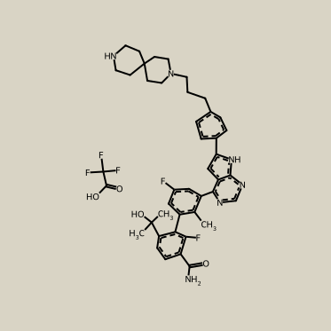 Cc1c(-c2c(C(C)(C)O)ccc(C(N)=O)c2F)cc(F)cc1-c1ncnc2[nH]c(-c3ccc(CCCN4CCC5(CCNCC5)CC4)cc3)cc12.O=C(O)C(F)(F)F